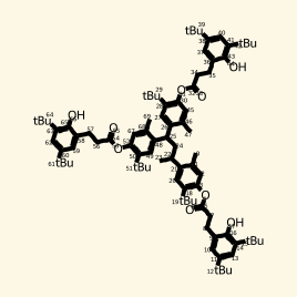 Cc1cc(OC(=O)CCc2cc(C(C)(C)C)cc(C(C)(C)C)c2O)c(C(C)(C)C)cc1C(C)CC(c1cc(C(C)(C)C)c(OC(=O)CCc2cc(C(C)(C)C)cc(C(C)(C)C)c2O)cc1C)c1cc(C(C)(C)C)c(OC(=O)CCc2cc(C(C)(C)C)cc(C(C)(C)C)c2O)cc1C